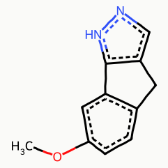 COc1ccc2c(c1)-c1[nH]ncc1C2